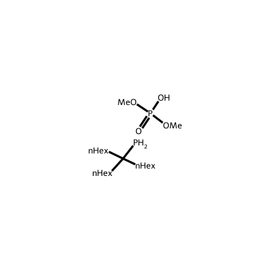 CCCCCCC(P)(CCCCCC)CCCCCC.COP(=O)(O)OC